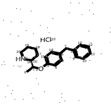 CC(Oc1ccc(Cc2ccccc2)cc1)[C@@H]1CCCCN1.Cl